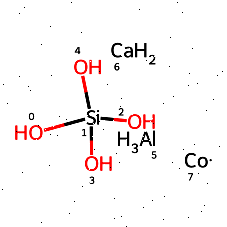 O[Si](O)(O)O.[AlH3].[CaH2].[Co]